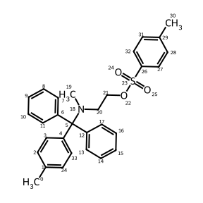 Cc1ccc(C(c2ccccc2)(c2ccccc2)N(C)CCOS(=O)(=O)c2ccc(C)cc2)cc1